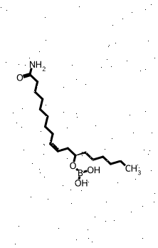 CCCCCC[C@H](C/C=C\CCCCCCCC(N)=O)OB(O)O